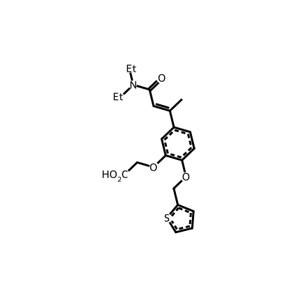 CCN(CC)C(=O)C=C(C)c1ccc(OCc2cccs2)c(OCC(=O)O)c1